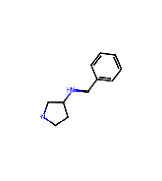 [CH]1CC(NCc2ccccc2)C[N]1